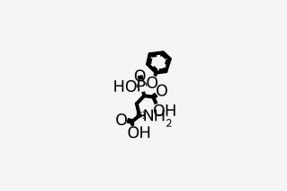 N[C@@H](CC(C(=O)O)P(=O)(O)Oc1ccccc1)C(=O)O